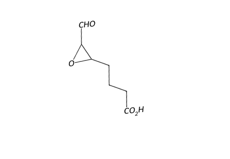 O=CC1OC1CCCC(=O)O